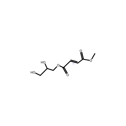 COC(=O)/C=C/C(=O)OCC(O)CO